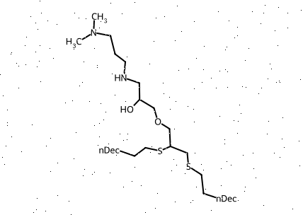 CCCCCCCCCCCCSCC(COCC(O)CNCCCN(C)C)SCCCCCCCCCCCC